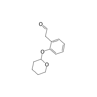 O=CCc1ccccc1OC1CCCCO1